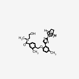 Cc1ccc(OCc2ccc(C(=O)N(C)CCO)cc2C)c(-c2csc(N3C[C@@H]4CC[C@@H](C3)C4C(=O)O)n2)c1